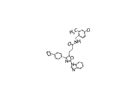 Cc1cc(Cl)ccc1CNC(=O)CCc1oc(-n2cnc3ccccc32)nc1-c1ccc(Cl)cc1